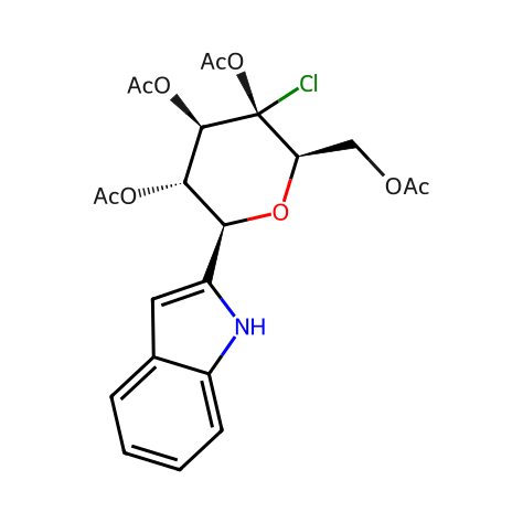 CC(=O)OC[C@H]1O[C@@H](c2cc3ccccc3[nH]2)[C@H](OC(C)=O)[C@@H](OC(C)=O)[C@@]1(Cl)OC(C)=O